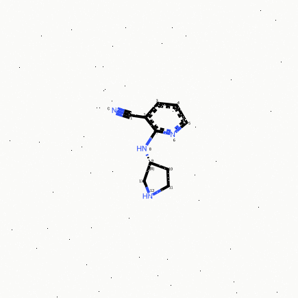 N#Cc1cccnc1N[C@@H]1CCNC1